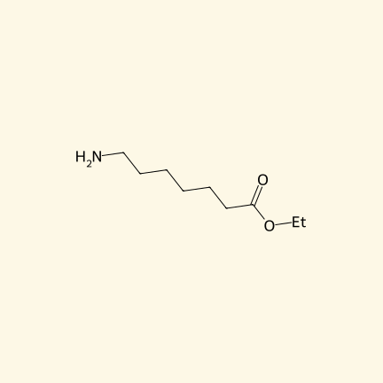 CCOC(=O)CCCCCCN